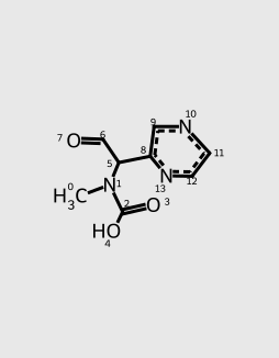 CN(C(=O)O)C(C=O)c1cnccn1